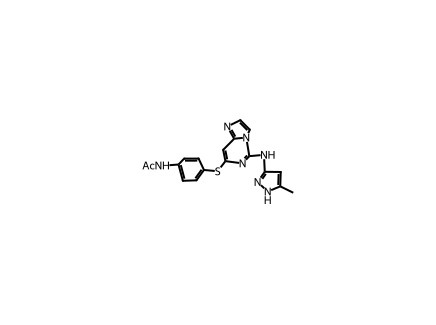 CC(=O)Nc1ccc(Sc2cc3nccn3c(Nc3cc(C)[nH]n3)n2)cc1